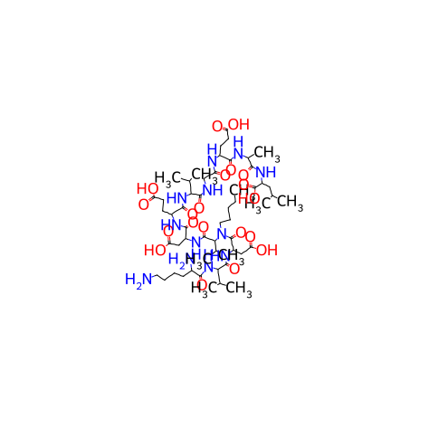 CCCCCN(C(=O)C(CC(=O)O)NC(=O)C(NC(=O)C(N)CCCCN)C(C)C)C(C(=O)NC(CC(=O)O)C(=O)NC(CCC(=O)O)C(=O)NC(C(=O)NCC(=O)NC(CCC(=O)O)C(=O)NC(C)C(=O)NC(CC(C)C)C(=O)O)C(C)C)C(C)C